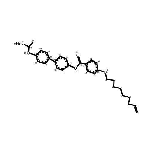 C=CCCCCCCCOc1ccc(C(=O)Oc2ccc(-c3ccc(OC(C)CCCCCC)cc3)cc2)cc1